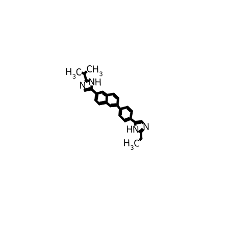 CCc1ncc(-c2ccc(-c3ccc4cc(-c5cnc(C(C)C)[nH]5)ccc4c3)cc2)[nH]1